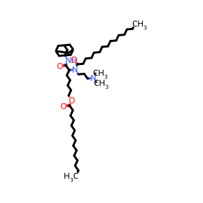 CCCCCCCCCCCCCCC(=O)OCCCCCC(C(=O)NC12CC3CC(CC(C3)C1)C2)N(CCCN(C)C)C(=O)CCCCCCCCCCCCCC